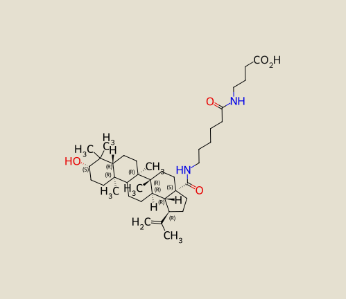 C=C(C)[C@@H]1CC[C@]2(C(=O)NCCCCCC(=O)NCCCC(=O)O)CC[C@]3(C)[C@H](CCC4[C@@]5(C)CC[C@H](O)C(C)(C)[C@@H]5CC[C@]43C)[C@@H]12